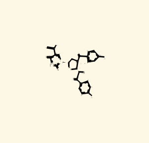 C=C(C)c1cn([C@H]2C[C@@](O)(C(=O)c3ccc(C)cc3)[C@@H](C(O)C(=O)c3ccc(C)cc3)O2)c(=O)[nH]c1=O